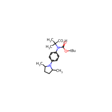 CC1CCC(C)N1c1ccc(N(C(=O)OC(C)(C)C)C(C)(C)C(=O)O)cc1